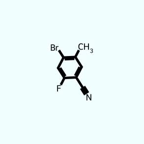 Cc1cc(C#N)c(F)cc1Br